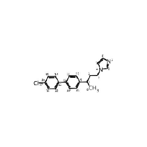 CC(CCn1ccnc1)c1ccc(-c2ccc(Cl)cc2)cc1